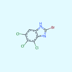 Clc1cc2[nH]c(Br)nc2c(Cl)c1Cl